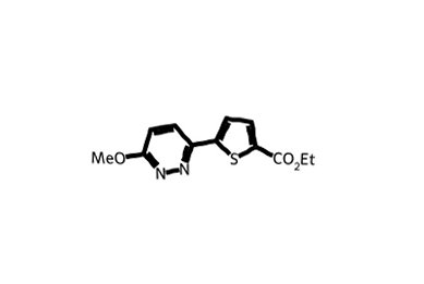 CCOC(=O)c1ccc(-c2ccc(OC)nn2)s1